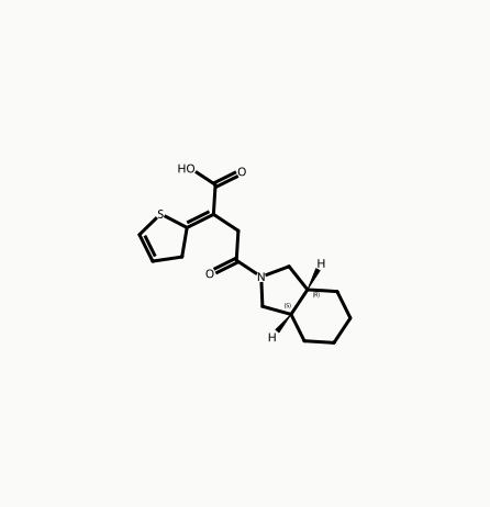 O=C(O)C(CC(=O)N1C[C@H]2CCCC[C@H]2C1)=C1CC=CS1